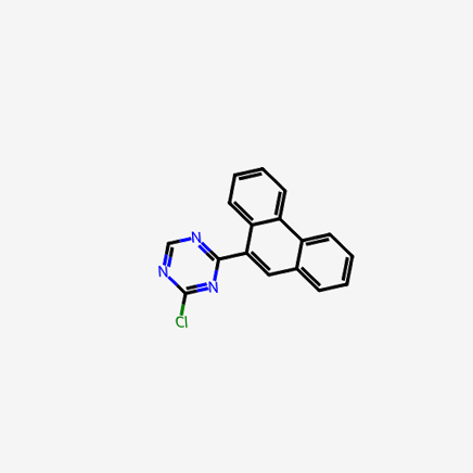 Clc1ncnc(-c2cc3ccccc3c3ccccc23)n1